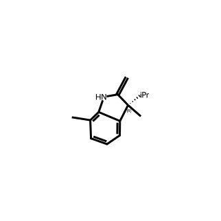 C=C1Nc2c(C)cccc2[C@@]1(C)C(C)C